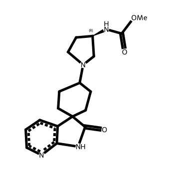 COC(=O)N[C@@H]1CCN(C2CCC3(CC2)C(=O)Nc2ncccc23)C1